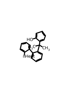 CCCCCCCc1ccccc1-c1ccccc1C(C)(C)c1ccccc1O